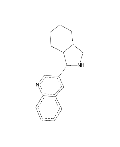 [c]1nc2ccccc2cc1C1NCC2CCCCC21